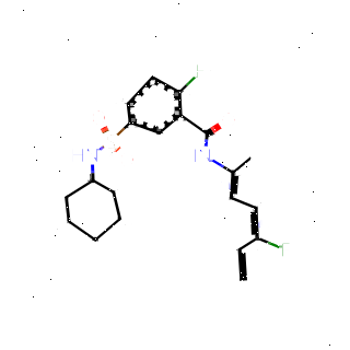 C=C/C(F)=C\C=C(/C)NC(=O)c1cc(S(=O)(=O)NC2CCCCC2)ccc1F